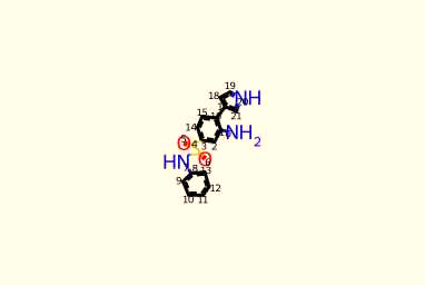 Nc1cc(S(=O)(=O)Nc2ccccc2)ccc1-c1cc[nH]c1